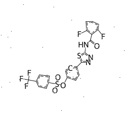 O=C(Nc1nnc(-c2ccc(OS(=O)(=O)c3ccc(C(F)(F)F)cc3)cc2)s1)c1c(F)cccc1F